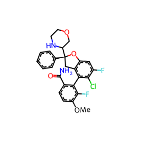 COc1ccc(C(N)=O)c(-c2c(Cl)c(F)cc3c2C[C@](c2ccccc2)(C2COCCN2)O3)c1F